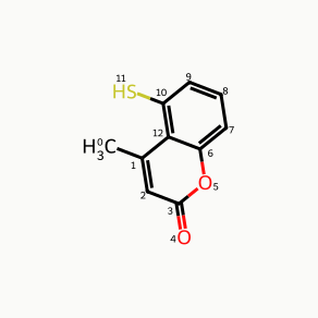 Cc1cc(=O)oc2cccc(S)c12